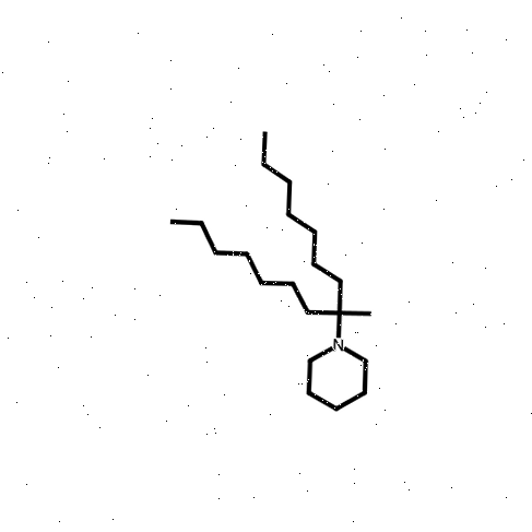 CCCCCCCC(C)(CCCCCCC)N1CCCCC1